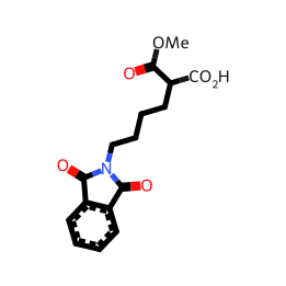 COC(=O)C(CCCCN1C(=O)c2ccccc2C1=O)C(=O)O